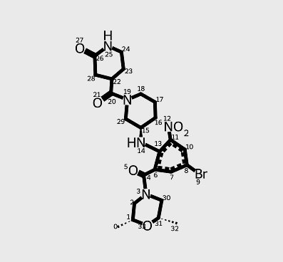 C[C@@H]1CN(C(=O)c2cc(Br)cc([N+](=O)[O-])c2N[C@@H]2CCCN(C(=O)C3CCNC(=O)C3)C2)C[C@H](C)O1